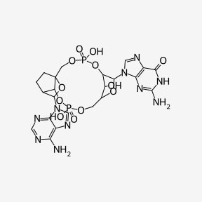 Nc1nc2c(ncn2C2OC3COP(=O)(O)OC4C5CCC4(COP(=O)(O)OC2C3O)OC5n2cnc3c(N)ncnc32)c(=O)[nH]1